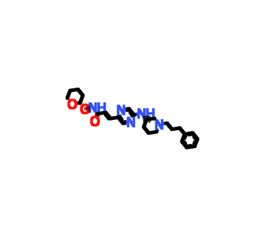 O=C(C=Cc1cnc(N[C@@H]2CCCN(CCCc3ccccc3)C2)cn1)NOC1CCCCO1